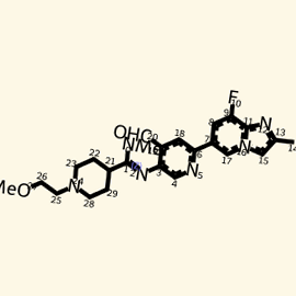 CN/C(=N\c1cnc(-c2cc(F)c3nc(C)cn3c2)cc1C=O)C1CCN(CCOC)CC1